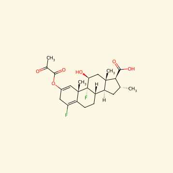 CC(=O)C(=O)OC1=C[C@@]2(C)C(=C(F)C1)CC[C@H]1[C@@H]3C[C@@H](C)[C@H](C(=O)O)[C@@]3(C)C[C@H](O)[C@@]12F